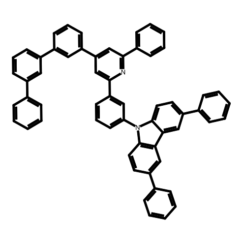 c1ccc(-c2cccc(-c3cccc(-c4cc(-c5ccccc5)nc(-c5cccc(-n6c7ccc(-c8ccccc8)cc7c7cc(-c8ccccc8)ccc76)c5)c4)c3)c2)cc1